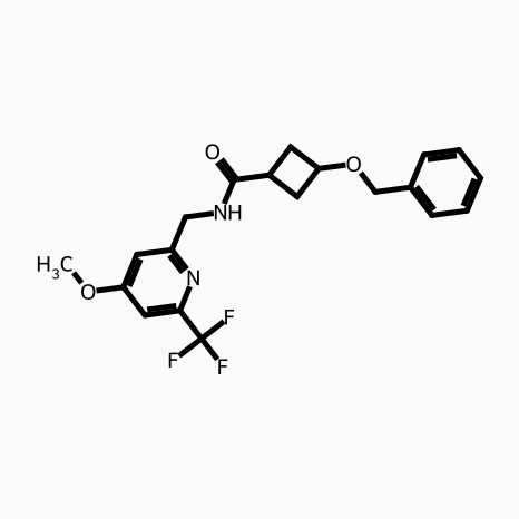 COc1cc(CNC(=O)C2CC(OCc3ccccc3)C2)nc(C(F)(F)F)c1